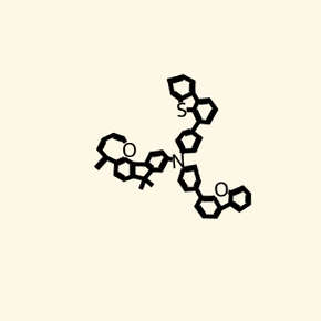 C=C1/C=C\C=C/Oc2c1ccc1c2-c2ccc(N(c3ccc(-c4cccc5c4oc4ccccc45)cc3)c3ccc(-c4cccc5c4sc4ccccc45)cc3)cc2C1(C)C